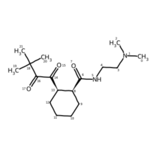 CN(C)CCNC(=O)[C@H]1CCCC[C@H]1C(=O)C(=O)C(C)(C)C